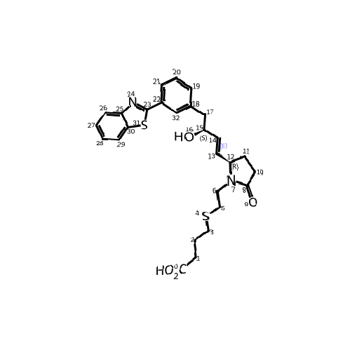 O=C(O)CCCSCCN1C(=O)CC[C@@H]1/C=C/[C@@H](O)Cc1cccc(-c2nc3ccccc3s2)c1